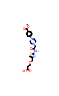 COC(=O)c1ccc(N2CCN(CC(=O)Nc3nc(COCCC(=O)O)cs3)CC2)cc1